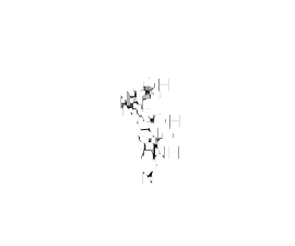 N#CCC(=O)NC1C(=O)N2C(C(=O)O)=C(CSc3nnnn3CS(=O)(=O)O)CS[C@H]12